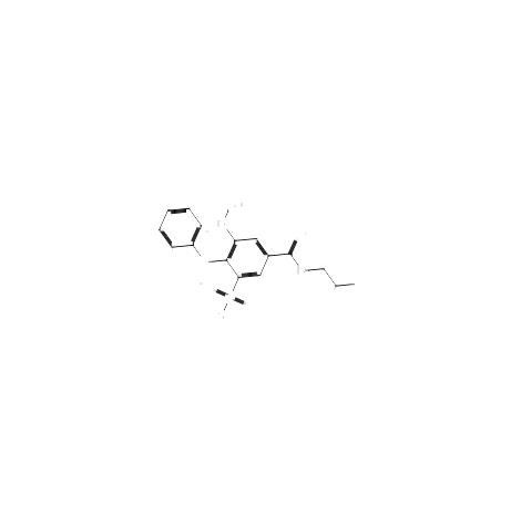 CCCCNc1cc(C(=O)NCCC(F)(F)F)cc(S(N)(=O)=O)c1Oc1ccccc1